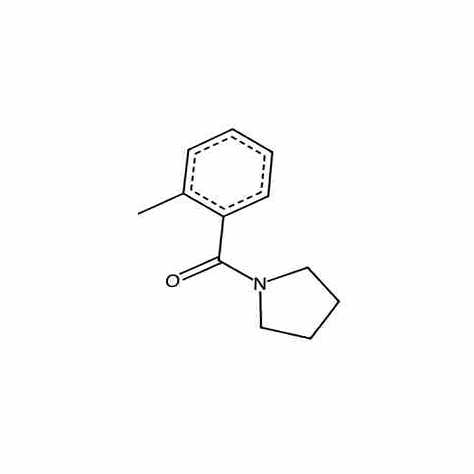 Cc1ccccc1C(=O)N1CCCC1